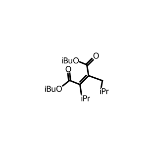 CC(C)COC(=O)C(CC(C)C)=C(C(=O)OCC(C)C)C(C)C